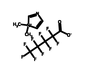 C[N+]1(C)C=CN=C1.O=C([O-])C(F)(F)C(F)(F)C(F)(F)C(F)(F)F